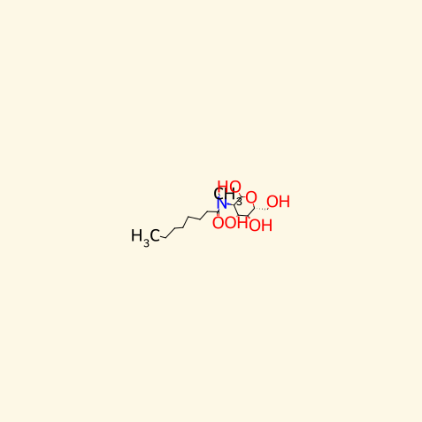 CCCCCCCC(=O)N(C)[C@H]1C(O)O[C@H](CO)[C@@H](O)[C@@H]1O